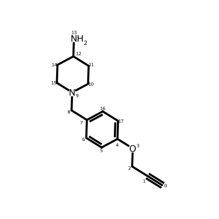 C#CCOc1ccc(CN2CCC(N)CC2)cc1